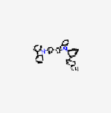 N#Cc1ccc(-c2cccc(-n3c4ccccc4c4cc(-c5ccc(-n6c7ccccc7c7ccccc76)cc5)ccc43)c2)cc1